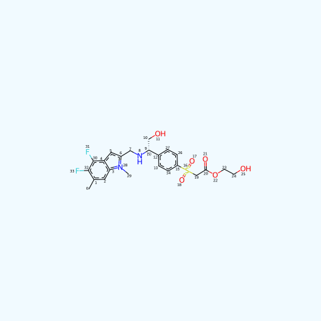 Cc1cc2c(cc(CN[C@H](CO)c3ccc(S(=O)(=O)CC(=O)OCCO)cc3)n2C)c(F)c1F